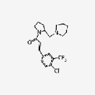 O=C(C=Cc1ccc(Cl)c(C(F)(F)F)c1)N1CCCC1CN1CCCCC1